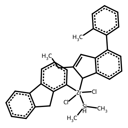 CCC1=Cc2c(-c3ccccc3C)cccc2[CH]1[Zr]([Cl])([Cl])([c]1cccc2c1Cc1ccccc1-2)[SiH](C)C